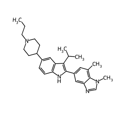 CCCN1CCC(c2ccc3[nH]c(-c4cc(C)c5c(c4)ncn5C)c(C(C)C)c3c2)CC1